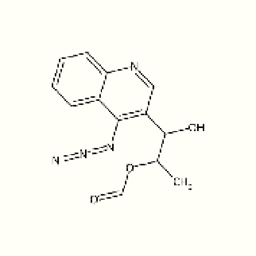 CC(OC=O)C(O)c1cnc2ccccc2c1N=[N+]=[N-]